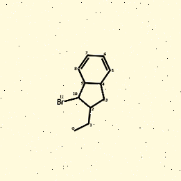 CCC1[C]C2C=CC=CC2C1Br